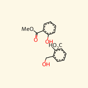 COC(=O)c1ccccc1O.O=C(O)c1ccccc1CO